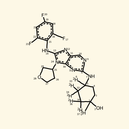 [2H]C1(O)CCC([2H])(Nc2ncc3nc(Nc4c(F)cc(F)cc4F)n(C4CCOC4)c3n2)C([2H])([2H])C1([2H])[2H]